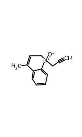 C#CC[N+]1([O-])CC=C(C)c2ccccc21